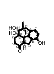 CN1CC[C@]23c4c5ccc(O)c4C[C@H]2C(=O)CC[C@@]3(O)[C@@]1(O)C5